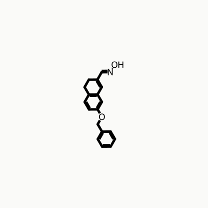 ON=CC1=Cc2cc(OCc3ccccc3)ccc2CC1